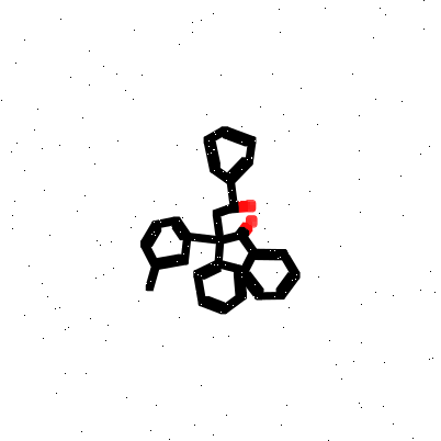 Cc1cccc(C(CC(=O)c2ccccc2)(C(=O)c2ccccc2)c2ccccc2)c1